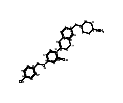 NC1CCN(Cc2ccc3c(c2)CCC(n2ccc(OCc4ccc(Cl)cn4)cc2=O)=C3)CC1